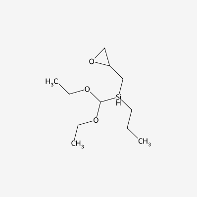 CCC[SiH](CC1CO1)C(OCC)OCC